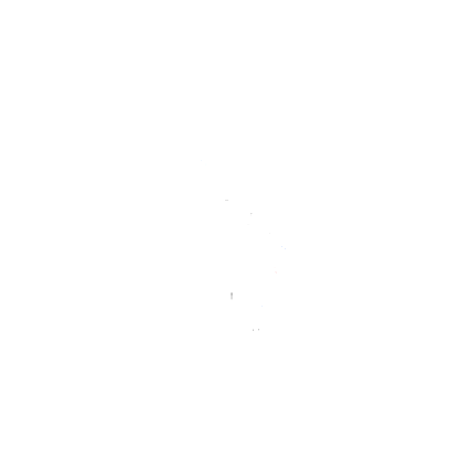 COc1ccc(C(O)=C2C(=O)Nc3cc(Cl)c(-c4ccc(N5CCOCC5)cc4)cc32)cn1